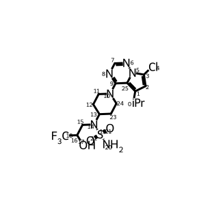 CC(C)c1cc(Cl)n2ncnc(N3CCC(N(CC(O)C(F)(F)F)S(N)(=O)=O)CC3)c12